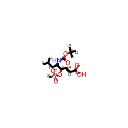 CC(C)CC(NC(=O)OC(C)(C)C)C(/C=C/C(=O)O)OS(C)(=O)=O